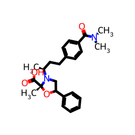 C[C@@H](CCc1ccc(C(=O)N(C)C)cc1)N1CC(c2ccccc2)O[C@]1(C)C(=O)O